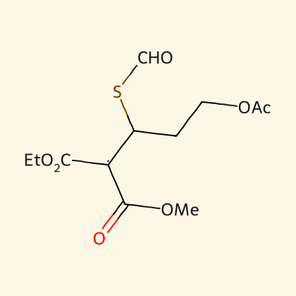 CCOC(=O)[C](C(=O)OC)C(CCOC(C)=O)SC=O